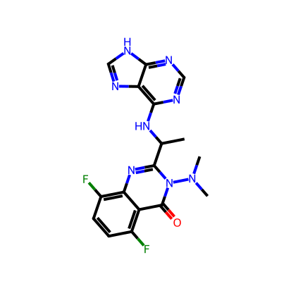 CC(Nc1ncnc2[nH]cnc12)c1nc2c(F)ccc(F)c2c(=O)n1N(C)C